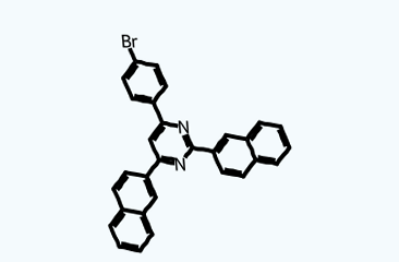 Brc1ccc(-c2cc(-c3ccc4ccccc4c3)nc(-c3ccc4ccccc4c3)n2)cc1